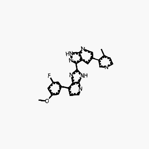 COc1cc(F)cc(-c2ccnc3[nH]c(-c4n[nH]c5ncc(-c6cnccc6C)cc45)nc23)c1